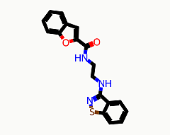 O=C(NCCNc1nsc2ccccc12)c1cc2ccccc2o1